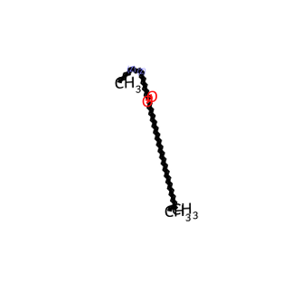 CCCCC/C=C\C/C=C\CCCCCCCC(=O)OCCCCCCCCCCCCCCCCCCCCCCCCCCCCCCCCCC(C)CC